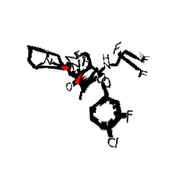 CC(C)(Oc1ccc(Cl)c(F)c1)C(=O)NC1CC2CCC(C1)N2c1ccc(C(=O)NCC(F)(F)F)cn1